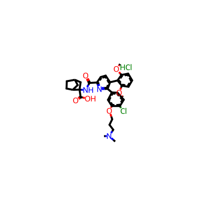 COc1cccc(OC)c1-c1ccc(C(=O)NC2(C(=O)O)CC3CCC2C3)nc1-c1ccc(Cl)c(OCCCN(C)C)c1.Cl